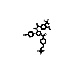 COc1ccc(C(=O)N(C)[C@H]2CN(C(=O)C3CCN(CCC(F)(F)F)CC3)C[C@@H]2c2ccc(Cl)cc2)cc1C(F)(F)F